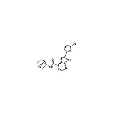 O=C(NC1CN2CCC1CC2)c1ccnc2[nH]c(-c3ccc(Br)s3)cc12